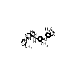 Cc1cc(Nc2ncnc3cnc(N4CCO[C@H](C)C4)nc23)ccc1Oc1ccc2c(c1)ncn2C